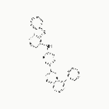 c1ccc(-c2cccc3ccc(-c4ccc(Nc5cccc6c5sc5ccccc56)cc4)cc23)cc1